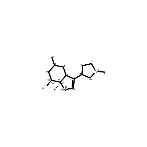 CC1CC2C(C3CCN(C)C3)=CN[C@H]2[C@@H](F)C1